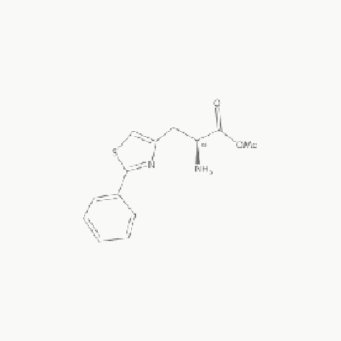 COC(=O)[C@@H](N)Cc1csc(-c2ccccc2)n1